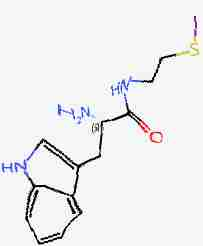 N[C@@H](Cc1c[nH]c2ccccc12)C(=O)NCCSI